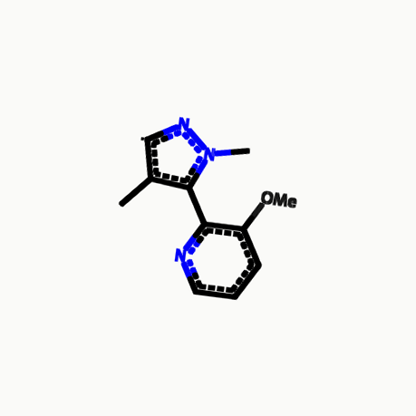 COc1cccnc1-c1c(C)[c]nn1C